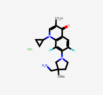 COC1(CN)CCN(c2c(F)cc3c(=O)c(C(=O)O)cn(C4CC4)c3c2F)C1.Cl